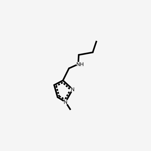 CCCNCc1ccn(C)n1